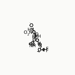 CC1(C)CCC(CN2CCN(c3ccc(C(=O)NS(=O)(=O)c4ccc(NC[C@H]5CC[C@@H](C)CC5)c([N+](=O)[O-])c4)c(Oc4cnc5[nH]ccc5c4)c3)CC2)=C(C23CC(C(F)F)(C2)C3)C1